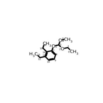 CCOC(OC)Oc1cc[c]c(CC)c1CC